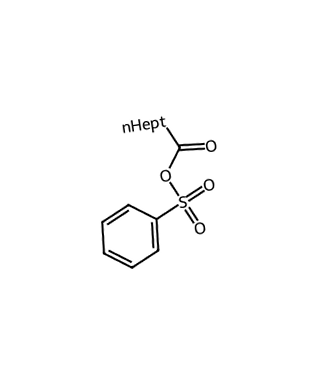 CCCCCCCC(=O)OS(=O)(=O)c1ccccc1